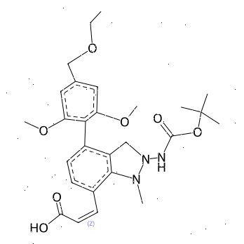 CCOCc1cc(OC)c(-c2ccc(/C=C\C(=O)O)c3c2CN(NC(=O)OC(C)(C)C)N3C)c(OC)c1